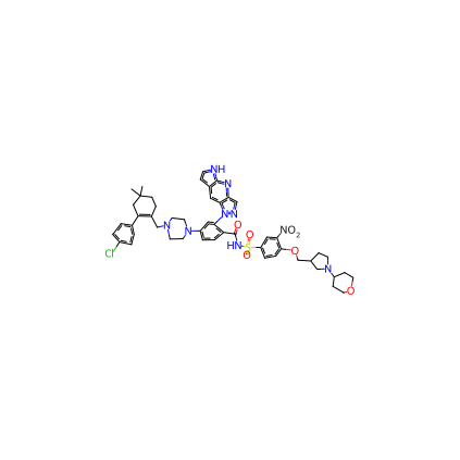 CC1(C)CCC(CN2CCN(c3ccc(C(=O)NS(=O)(=O)c4ccc(OCC5CCN(C6CCOCC6)C5)c([N+](=O)[O-])c4)c(-n4ncc5nc6[nH]ccc6cc54)c3)CC2)=C(c2ccc(Cl)cc2)C1